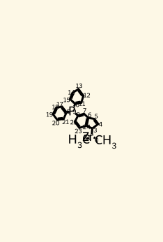 [CH3][Zr]([CH3])[CH]1C=Cc2cc(P(c3ccccc3)c3ccccc3)ccc21